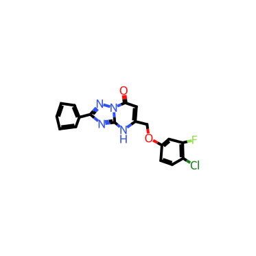 O=c1cc(COc2ccc(Cl)c(F)c2)[nH]c2nc(-c3ccccc3)nn12